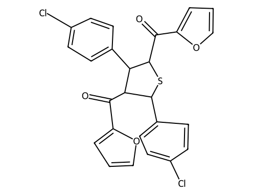 O=C(c1ccco1)C1SC(c2ccc(Cl)cc2)C(C(=O)c2ccco2)C1c1ccc(Cl)cc1